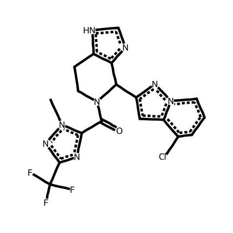 Cn1nc(C(F)(F)F)nc1C(=O)N1CCc2[nH]cnc2C1c1cc2c(Cl)cccn2n1